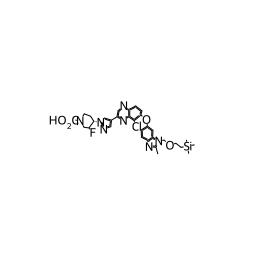 Cc1nc2ccc(Oc3ccc4ncc(-c5cnn([C@H]6CCN(C(=O)O)C[C@@H]6F)c5)nc4c3Cl)cc2n1COCC[Si](C)(C)C